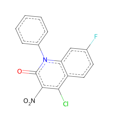 O=c1c([N+](=O)[O-])c(Cl)c2ccc(F)cc2n1-c1ccccc1